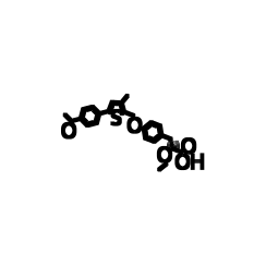 CCO[C@@H](Cc1ccc(OCc2sc(-c3ccc(C(C)=O)cc3)cc2C)cc1)C(=O)O